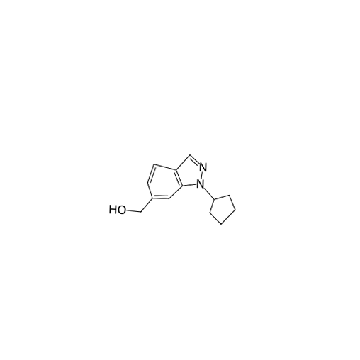 OCc1ccc2cnn(C3CCCC3)c2c1